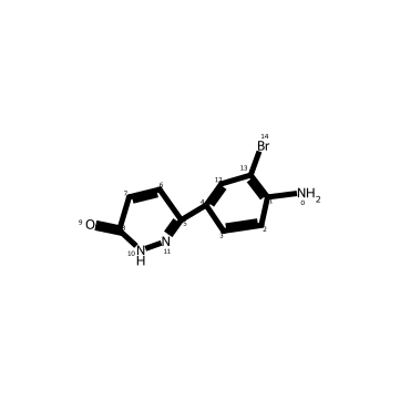 Nc1ccc(-c2ccc(=O)[nH]n2)cc1Br